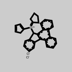 C1=CC[C]([Zr+2](=[C]2CCCC2)[CH]2c3ccccc3-c3c2c2ccccc2c2ccccc32)=C1.[Cl-].[Cl-]